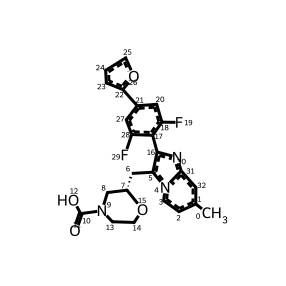 Cc1ccn2c(C[C@H]3CN(C(=O)O)CCO3)c(-c3c(F)cc(-c4ccco4)cc3F)nc2c1